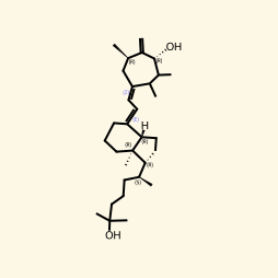 C=C1[C@H](C)C/C(=C/C=C2\CCC[C@]3(C)[C@@H]([C@@H](C)CCCC(C)(C)O)CC[C@@H]23)C(C)C(C)[C@H]1O